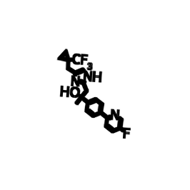 CC(O)(Cc1nc(CC2(C(F)(F)F)CC2)c[nH]1)c1ccc(-c2ccc(F)cn2)cc1